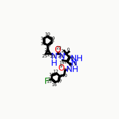 CC1(C)c2[nH]nc(NC(=O)Cc3ccc(F)cc3)c2CN1C(=O)NC1CC1c1ccccc1